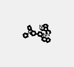 c1ccc(-n2c3ccccc3c3cc(-c4ccc5c(c4)c4ccc6ccccc6c4n5-c4nccc5c4-c4ccnc6cccc-5c46)ccc32)cc1